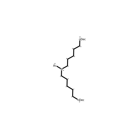 CCCCCCCCCCCCCCCN(CCCCCCCCCCCCCCC)C(C)=O